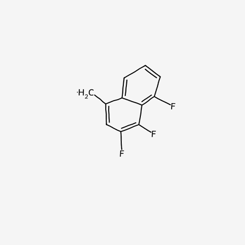 [CH2]c1cc(F)c(F)c2c(F)cccc12